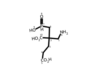 NCC(CCC(=O)O)(C[PH](=O)O)C(=O)O